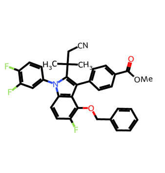 COC(=O)c1ccc(-c2c(C(C)(C)CC#N)n(-c3ccc(F)c(F)c3)c3ccc(F)c(OCc4ccccc4)c23)cc1